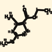 CCOC(=O)c1nnc(SC)nc1N